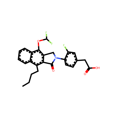 CCCCc1c2c(c(OC(F)F)c3ccccc13)CN(c1ccc(CC(=O)O)cc1F)C2=O